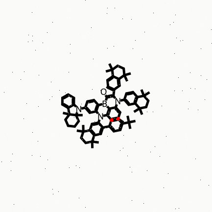 Cc1cc2c3c(c1)N(c1ccc4c(c1)C(C)(C)CCC4(C)C)c1c(oc4cc5c(cc14)C(C)(C)CCC5(C)C)B3c1ccc(N3c4ccccc4C4(C)CCCCC34C)cc1N2c1cc2c(cc1-c1ccc(C(C)(C)C)cc1)C(C)(C)CCC2(C)C